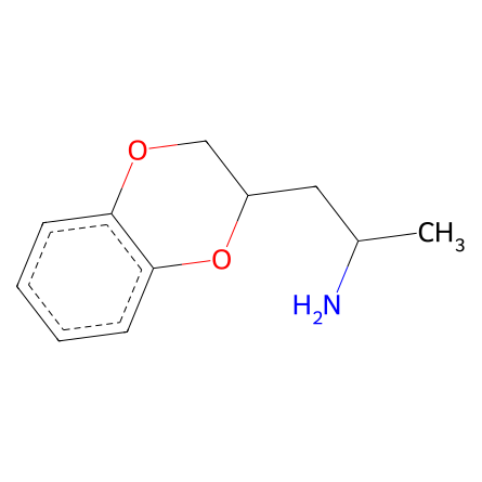 CC(N)CC1COc2ccccc2O1